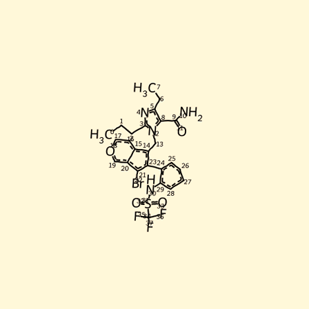 CCCc1nc(CC)c(C(N)=O)n1Cc1c2ccocc-2c(Br)c1-c1ccccc1NS(=O)(=O)C(F)(F)F